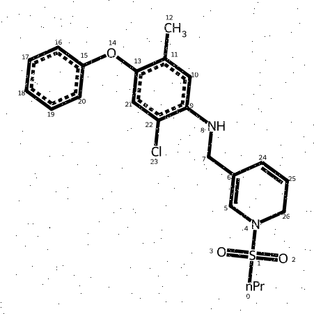 CCCS(=O)(=O)N1C=C(CNc2cc(C)c(Oc3ccccc3)cc2Cl)C=CC1